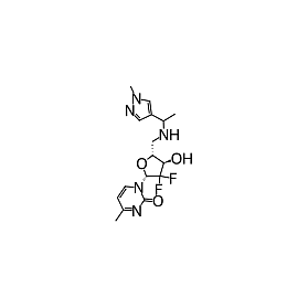 Cc1ccn([C@@H]2O[C@H](CNC(C)c3cnn(C)c3)[C@@H](O)C2(F)F)c(=O)n1